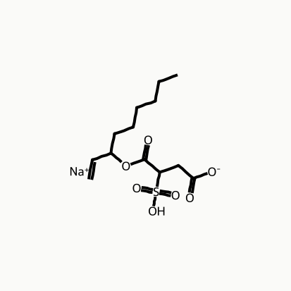 C=CC(CCCCCC)OC(=O)C(CC(=O)[O-])S(=O)(=O)O.[Na+]